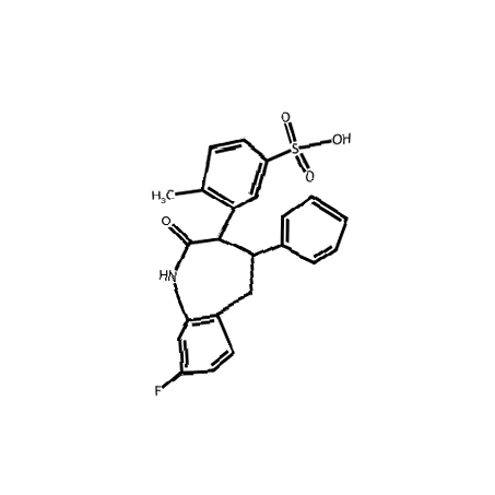 Cc1ccc(S(=O)(=O)O)cc1C1C(=O)Nc2cc(F)ccc2CC1c1ccccc1